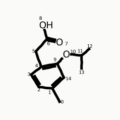 Cc1ccc(CC(=O)O)c(OC(C)C)c1